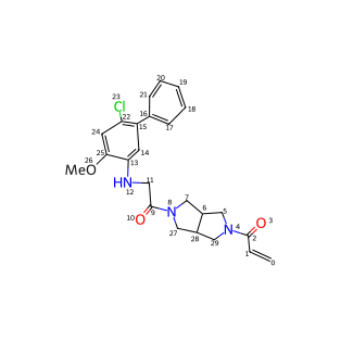 C=CC(=O)N1CC2CN(C(=O)CNc3cc(-c4ccccc4)c(Cl)cc3OC)CC2C1